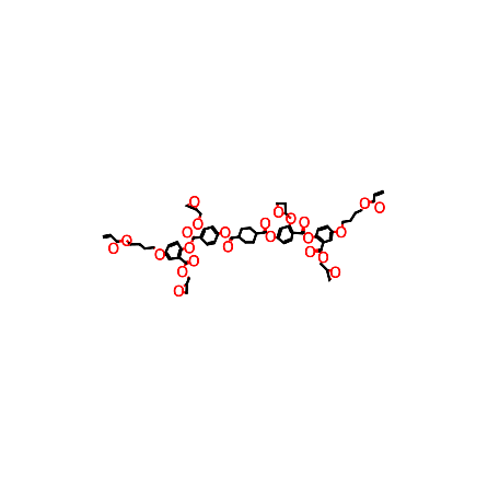 C=CC(=O)OCCCCOc1ccc(OC(=O)c2ccc(OC(=O)C3CCC(C(=O)Oc4ccc(C(=O)Oc5ccc(OCCCCOC(=O)C=C)cc5C(=O)OCC5CO5)c(OC5CCO5)c4)CC3)cc2OCC2CO2)c(C(=O)OCC2CO2)c1